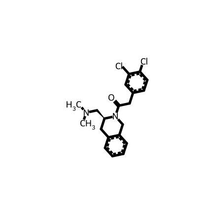 CN(C)C[C@@H]1Cc2ccccc2CN1C(=O)Cc1ccc(Cl)c(Cl)c1